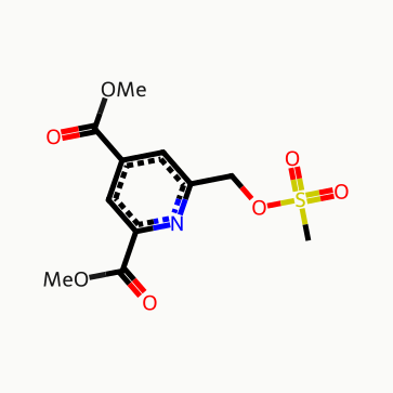 COC(=O)c1cc(COS(C)(=O)=O)nc(C(=O)OC)c1